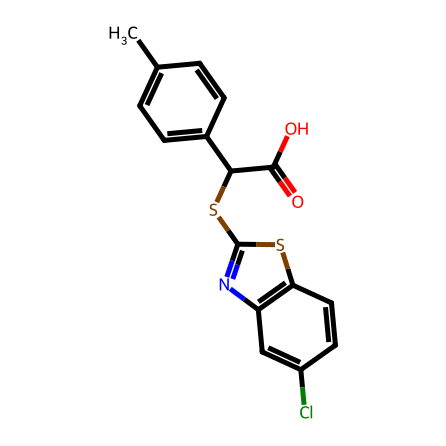 Cc1ccc(C(Sc2nc3cc(Cl)ccc3s2)C(=O)O)cc1